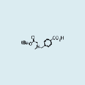 CN(CC(=O)OC(C)(C)C)Cc1ccc(C(=O)O)cc1